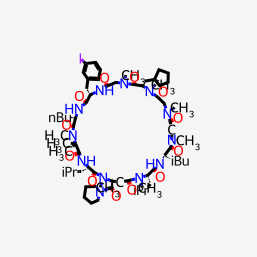 CCCC[C@@H]1NC(=O)[C@H](Cc2cccc(I)c2)NC(=O)CN(C)C(=O)[C@H](CC2CCCC2)N(C)C(=O)CN(C)C(=O)CN(C)C(=O)[C@H]([C@@H](C)CC)NC(=O)[C@H](CC(C)C)N(C)C(=O)C[C@@H](C(=O)N2CCCCC2)N(C)C(=O)[C@H](CC(C)C)NC(=O)C(C)(C)N(C)C1=O